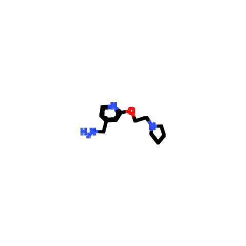 NCc1ccnc(OCCN2CCCC2)c1